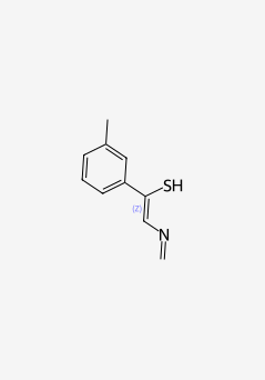 C=N/C=C(\S)c1cccc(C)c1